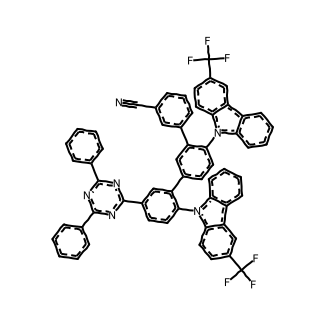 N#Cc1cccc(-c2cc(-c3cc(-c4nc(-c5ccccc5)nc(-c5ccccc5)n4)ccc3-n3c4ccccc4c4cc(C(F)(F)F)ccc43)ccc2-n2c3ccccc3c3cc(C(F)(F)F)ccc32)c1